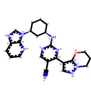 N#Cc1cnc(N[C@@H]2CCC[C@H](n3cnc4cccnc43)C2)nc1-c1cnn2c1OCCC2